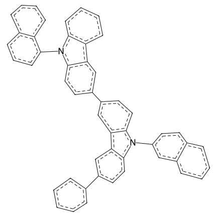 c1ccc(-c2ccc3c(c2)c2cc(-c4ccc5c(c4)c4ccccc4n5-c4cccc5ccccc45)ccc2n3-c2ccc3ccccc3c2)cc1